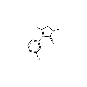 CN1CC(O)=C(c2cccc(N)c2)C1=O